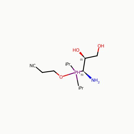 CC(C)[PH](OCCC#N)(C(C)C)[C@H](N)[C@@H](O)CO